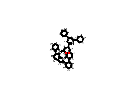 c1ccc(-c2cc(-c3ccccc3)nc(-c3cccc(-n4c5ccccc5c5ccc6cc7c8ccccc8c8ccccc8n7c6c54)c3)c2)cc1